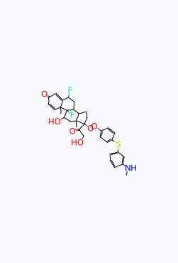 CNc1cccc(Sc2ccc(OOC3(C(=O)CO)CCC4C5C[C@H](F)C6=CC(=O)C=CC6(C)[C@@]5(F)C(O)CC43C)cc2)c1